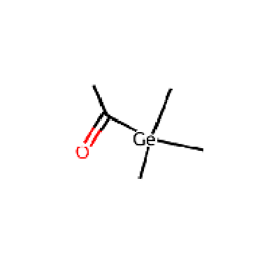 C[C](=O)[Ge]([CH3])([CH3])[CH3]